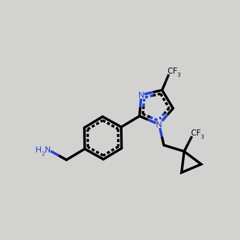 NCc1ccc(-c2nc(C(F)(F)F)cn2CC2(C(F)(F)F)CC2)cc1